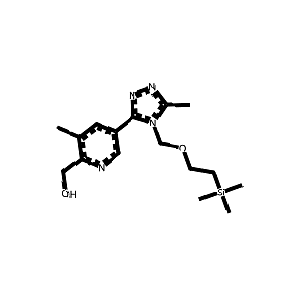 Cc1cc(-c2nnc(C)n2COCC[Si](C)(C)C)cnc1CO